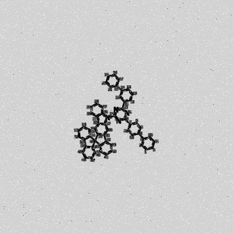 c1ccc(-c2ccc(-c3nc(-c4cccc(-c5ccccc5)c4)nc(-n4c5ccccc5c5cc6c(cc54)-c4ccccc4C64c5ccccc5-c5ccccc54)n3)cc2)cc1